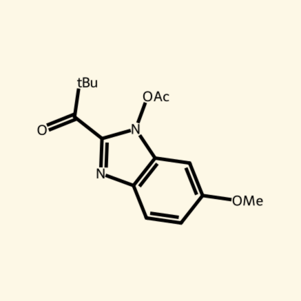 COc1ccc2nc(C(=O)C(C)(C)C)n(OC(C)=O)c2c1